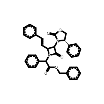 O=C(OCc1ccccc1)C(c1ccccc1)N1C(=O)C(N2C(=O)OC[C@@H]2c2ccccc2)C1C=Cc1ccccc1